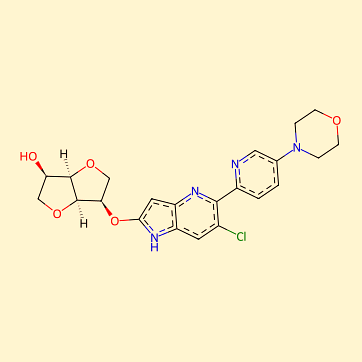 O[C@@H]1CO[C@H]2[C@@H]1OC[C@H]2Oc1cc2nc(-c3ccc(N4CCOCC4)cn3)c(Cl)cc2[nH]1